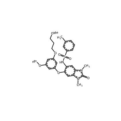 CCCOc1cc(OCCCOC)cc(Oc2cc3c(cc2NS(=O)(=O)c2cccc(C)c2)n(C)c(=O)n3C)c1